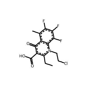 CCc1c(C(=O)O)c(=O)c2c(C)c(F)c(F)c(F)c2n1CCCl